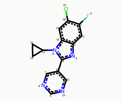 Fc1cc2nc(-c3cncnc3)n(C3CC3)c2cc1Cl